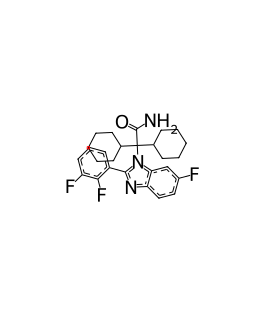 NC(=O)C(C1CCCCC1)(C1CCCCC1)n1c(-c2cccc(F)c2F)nc2ccc(F)cc21